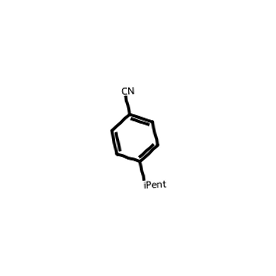 CCCC(C)c1ccc(C#N)cc1